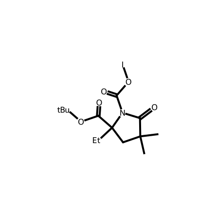 CCC1(C(=O)OC(C)(C)C)CC(C)(C)C(=O)N1C(=O)OI